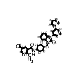 Cc1ncc(Cl)cc1C(=O)N[C@H]1CC[C@H](Cn2c(=O)n(-c3cncc(-n4cccn4)c3)c3ccccc32)CC1